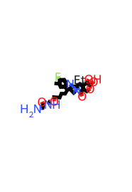 CC[C@@]1(O)C(=O)OCc2c1cc1n(c2=O)Cc2c-1nc1cc(F)c(C)cc1c2CCCCOCNC(=O)CN